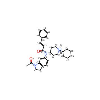 CC(=O)N1CCc2ccc(N(C(=O)C=Cc3ccccc3)[C@H]3CC[N@+](C)(C4CCCCC4)CC3)cc21